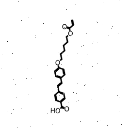 C=CC(=O)OCCCCCCOc1ccc(C=Cc2ccc(C(=O)O)cc2)cc1